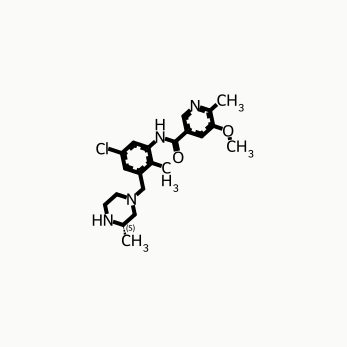 COc1cc(C(=O)Nc2cc(Cl)cc(CN3CCN[C@@H](C)C3)c2C)cnc1C